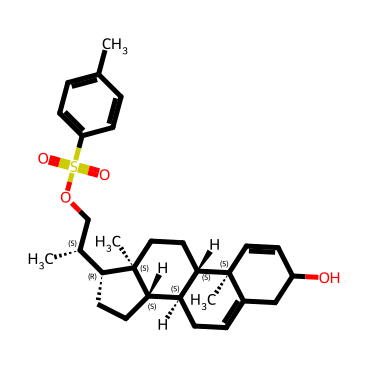 Cc1ccc(S(=O)(=O)OC[C@@H](C)[C@H]2CC[C@H]3[C@@H]4CC=C5CC(O)C=C[C@]5(C)[C@H]4CC[C@]23C)cc1